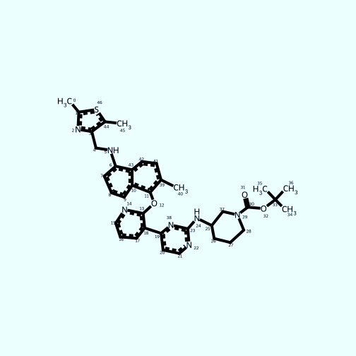 Cc1nc(CNc2cccc3c(Oc4ncccc4-c4ccnc(NC5CCCN(C(=O)OC(C)(C)C)C5)n4)c(C)ccc23)c(C)s1